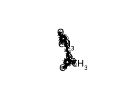 COc1cc(C=O)ccc1OCCCCCOc1ccc(C=O)cc1C